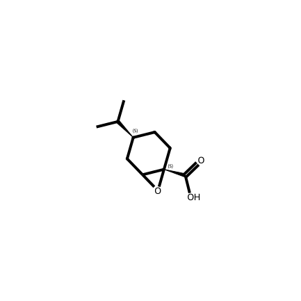 CC(C)[C@H]1CC[C@]2(C(=O)O)OC2C1